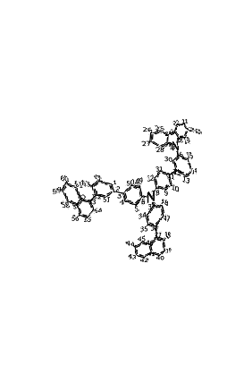 c1cc(-c2ccc(N(c3ccc(-c4cccc(-n5c6ccccc6c6ccccc65)c4)cc3)c3ccc(-c4cccc5ccccc45)cc3)cc2)cc(-c2cccc3ccccc23)c1